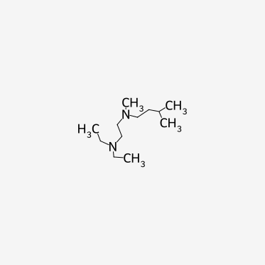 CCN(CC)CCN(C)CCC(C)C